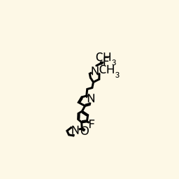 CC(C)(F)CN1CCC(CCc2ccc(-c3ccc(C(=O)N4CCCC4)c(F)c3)cn2)CC1